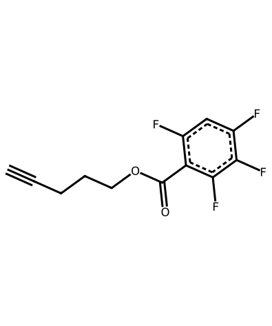 C#CCCCOC(=O)c1c(F)cc(F)c(F)c1F